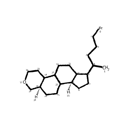 CC(C)CCCC(C)C1CC[C@@H]2C1CCC1C3CCOC[C@@H]3CCC12